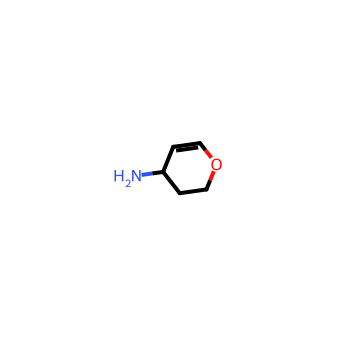 NC1C=COCC1